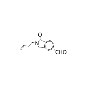 C=CCCN1Cc2cc(C=O)ccc2C1=O